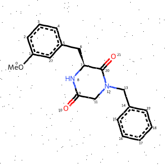 COc1cccc(C[C@@H]2NC(=O)CN(Cc3ccccc3)C2=O)c1